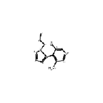 CCCn1nccc1-c1c(N)cncc1Cl